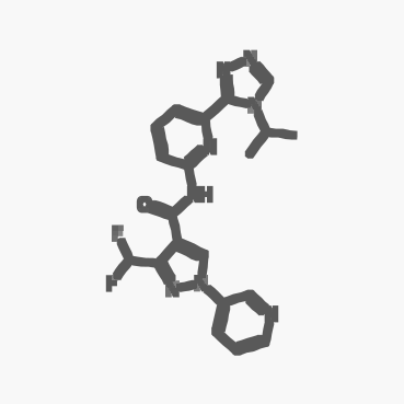 CC(C)n1cnnc1-c1cccc(NC(=O)c2cn(-c3cccnc3)nc2C(F)F)n1